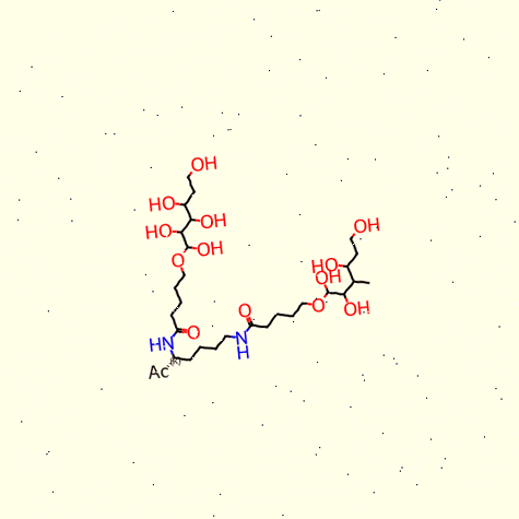 CC(=O)[C@@H](CCCCNC(=O)CCCCOC(O)C(O)C(C)C(O)CCO)NC(=O)CCCCOC(O)C(O)C(O)C(O)CCO